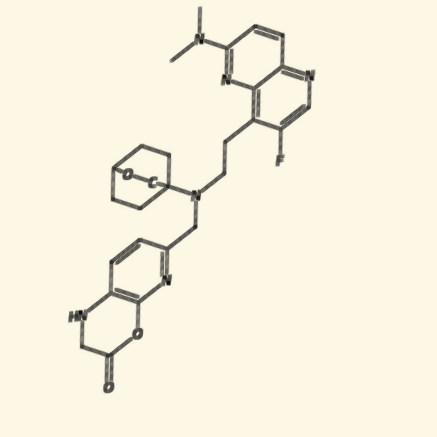 CN(C)c1ccc2ncc(F)c(CCN(Cc3ccc4c(n3)OC(=O)CN4)C34CCC(CC3)OC4)c2n1